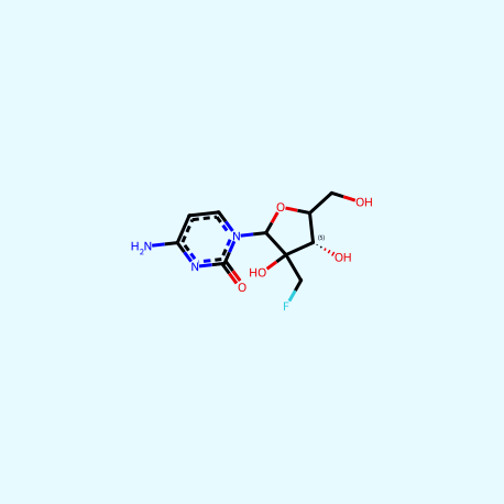 Nc1ccn(C2OC(CO)[C@H](O)C2(O)CF)c(=O)n1